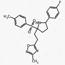 Cc1ccc(S(=O)(=O)C2(CCc3nc(C)no3)CCC(c3ccc(F)cc3)N2)cc1